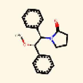 CCCO[C@@H](c1ccccc1)[C@@H](c1ccccc1)N1CCCC1=O